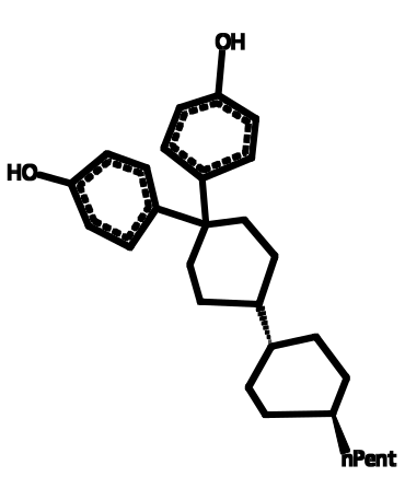 CCCCC[C@H]1CC[C@H](C2CCC(c3ccc(O)cc3)(c3ccc(O)cc3)CC2)CC1